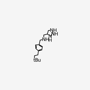 CC(C)(C)CCc1ccc(CNCC2CNNN2)cc1